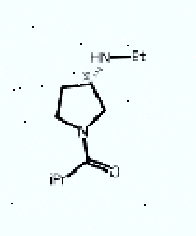 CCN[C@H]1CCN(C(=O)C(C)C)C1